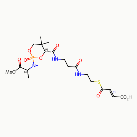 COC(=O)[C@H](C)NP1(=O)OCC(C)(C)[C@H](C(=O)NCCC(=O)NCCSC(=O)/C=C/C(=O)O)O1